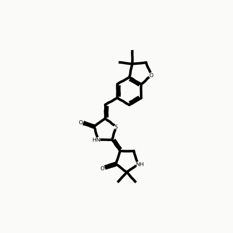 CC1(C)NC/C(=c2/[nH]c(=O)/c(=C/c3ccc4c(c3)C(C)(C)CO4)s2)C1=O